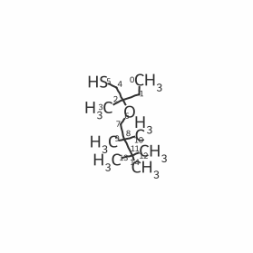 CCC(C)(CS)OCC(C)(C)C(C)(C)C